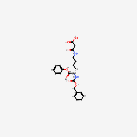 O=C(O)CC(=O)NCCCC[C@H](NC(=O)OCc1ccccc1)C(=O)Oc1ccccc1